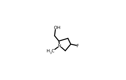 CN1CC(F)CC1CO